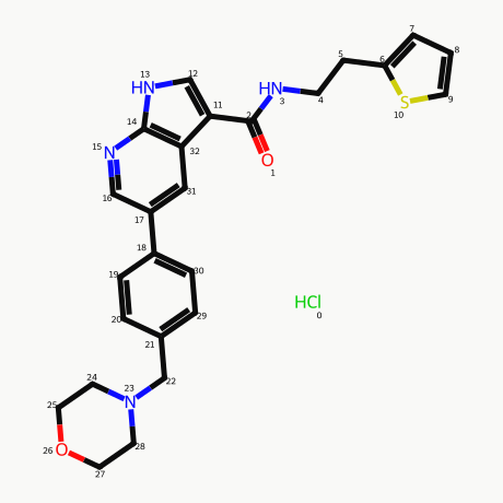 Cl.O=C(NCCc1cccs1)c1c[nH]c2ncc(-c3ccc(CN4CCOCC4)cc3)cc12